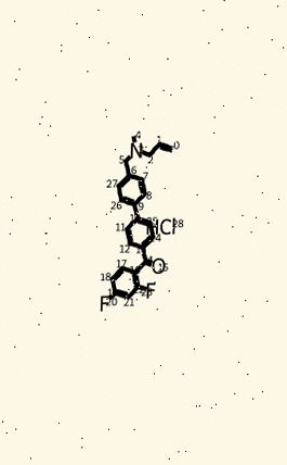 C=CCN(C)Cc1ccc(-c2ccc(C(=O)c3ccc(F)cc3F)cc2)cc1.Cl